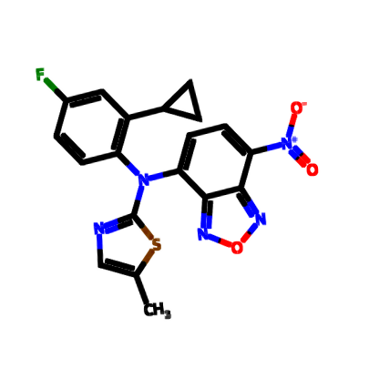 Cc1cnc(N(c2ccc(F)cc2C2CC2)c2ccc([N+](=O)[O-])c3nonc23)s1